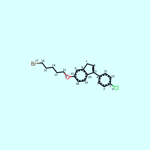 Clc1ccc(C2=CCc3cc(OCCCCCBr)ccc32)cc1